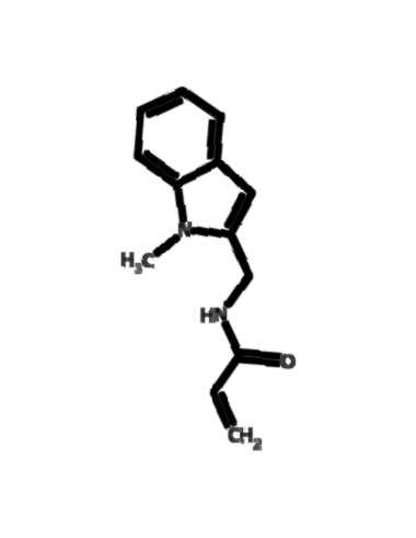 C=CC(=O)NCc1cc2ccccc2n1C